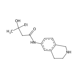 CCC(C)(O)CC(=O)Nc1ccc2c(c1)CCNC2